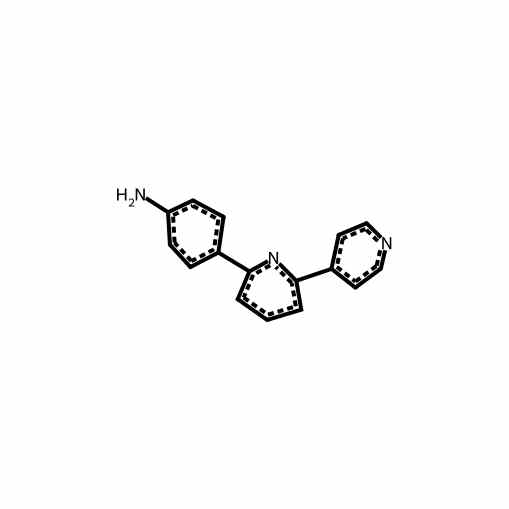 Nc1ccc(-c2cccc(-c3ccncc3)n2)cc1